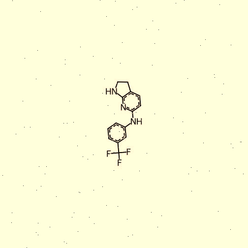 FC(F)(F)c1cccc(Nc2ccc3c(n2)NCC3)c1